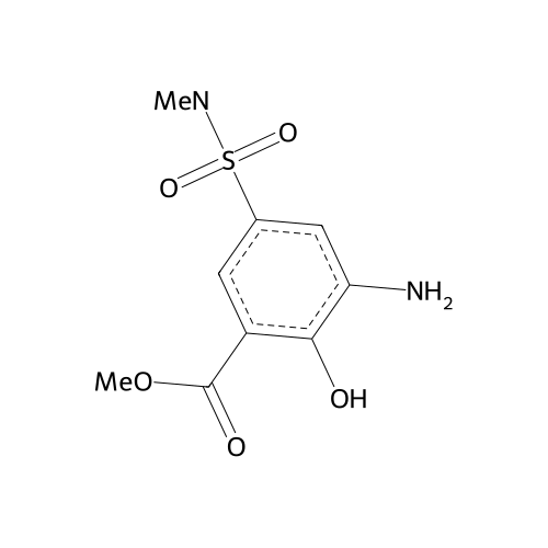 CNS(=O)(=O)c1cc(N)c(O)c(C(=O)OC)c1